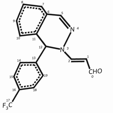 O=CC=CN1N=Cc2ccccc2C1c1ccc(C(F)(F)F)cc1